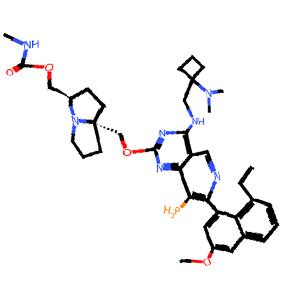 CCc1cccc2cc(OC)cc(-c3ncc4c(NCC5(N(C)C)CCC5)nc(OC[C@]56CCCN5[C@@H](COC(=O)NC)CC6)nc4c3P)c12